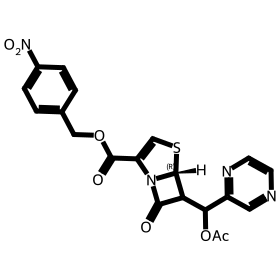 CC(=O)OC(c1cnccn1)C1C(=O)N2C(C(=O)OCc3ccc([N+](=O)[O-])cc3)=CS[C@H]12